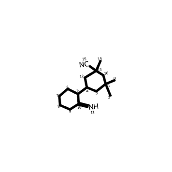 CC1(C)CC(C2CCCCC2=N)CC(C)(C#N)C1